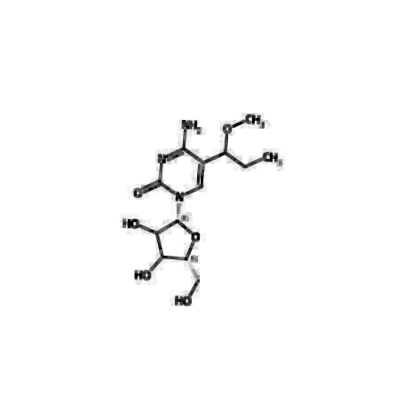 CCC(OC)c1cn([C@@H]2O[C@H](CO)C(O)C2O)c(=O)nc1N